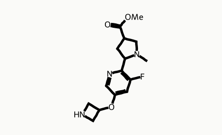 COC(=O)C1CC(c2ncc(OC3CNC3)cc2F)N(C)C1